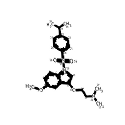 COc1ccc2c(c1)c(OCCN(C)C)cn2S(=O)(=O)c1ccc(C(C)C)cc1